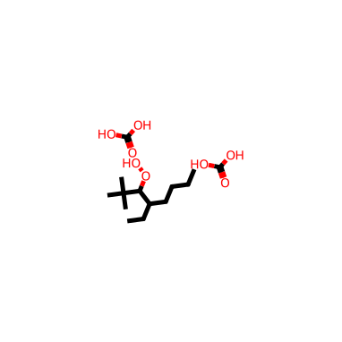 CCCCC(CC)C(OO)C(C)(C)C.O=C(O)O.O=C(O)O